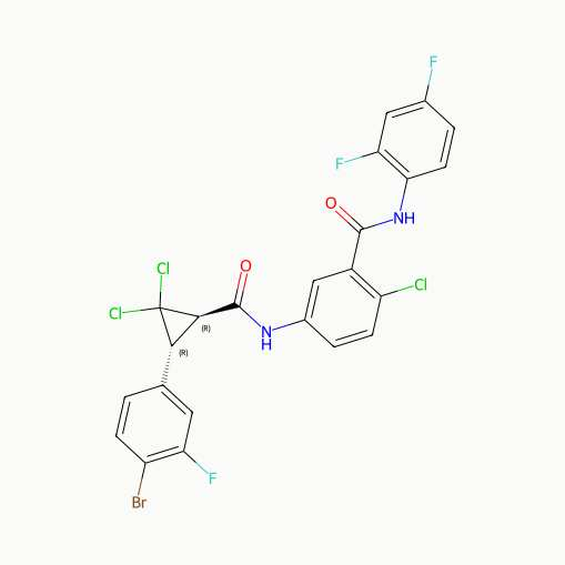 O=C(Nc1ccc(F)cc1F)c1cc(NC(=O)[C@H]2[C@H](c3ccc(Br)c(F)c3)C2(Cl)Cl)ccc1Cl